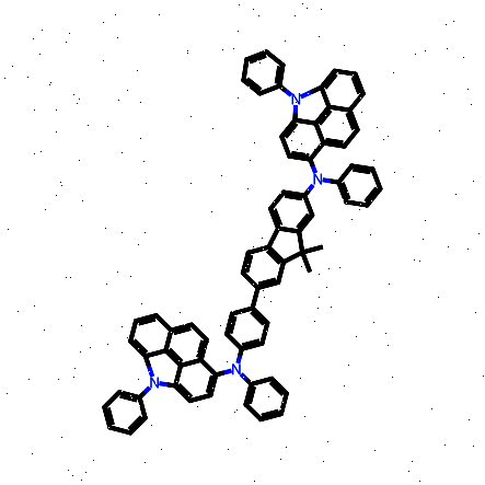 CC1(C)c2cc(-c3ccc(N(c4ccccc4)c4ccc5c6c4ccc4cccc(c46)n5-c4ccccc4)cc3)ccc2-c2ccc(N(c3ccccc3)c3ccc4c5c3ccc3cccc(c35)n4-c3ccccc3)cc21